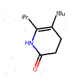 CC(C)C1=C(C(C)(C)C)CCC(=O)N1